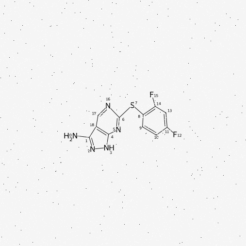 Nc1n[nH]c2nc(Sc3ccc(F)cc3F)ncc12